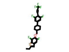 CCc1cc2cc(F)c(OCC3CCC(c4cc(F)c(C#CC(F)(F)F)c(F)c4)CC3)c(F)c2s1